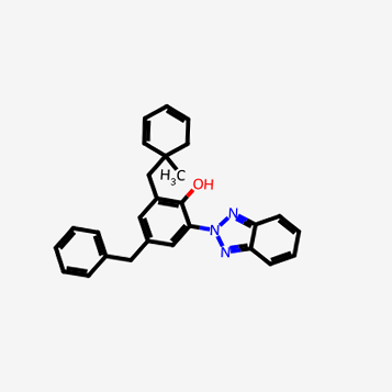 CC1(Cc2cc(Cc3ccccc3)cc(-n3nc4ccccc4n3)c2O)C=CC=CC1